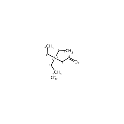 CC[N+](CC)(CC)CC=O.[Cl-]